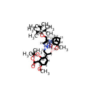 COc1ccc(C(CB2OC3CC4CC(C4(C)C)[C@]3(C)O2)Cn2cc(CO[Si](C(C)C)(C(C)C)C(C)C)nn2)c2c1C(=O)OC(C)(C)O2